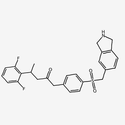 CC(CC(=O)Cc1ccc(S(=O)(=O)Cc2ccc3c(c2)CNC3)cc1)c1c(F)cccc1F